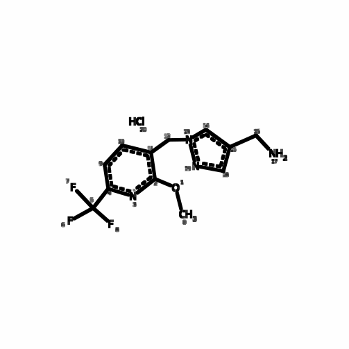 COc1nc(C(F)(F)F)ccc1Cn1cc(CN)cn1.Cl